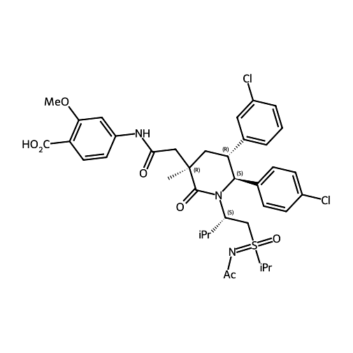 COc1cc(NC(=O)C[C@@]2(C)C[C@H](c3cccc(Cl)c3)[C@@H](c3ccc(Cl)cc3)N([C@H](CS(=O)(=NC(C)=O)C(C)C)C(C)C)C2=O)ccc1C(=O)O